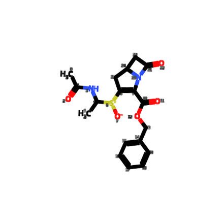 CC(=O)NC(C)[S+]([O-])C1=C(C(=O)OCc2ccccc2)N2C(=O)CC2C1